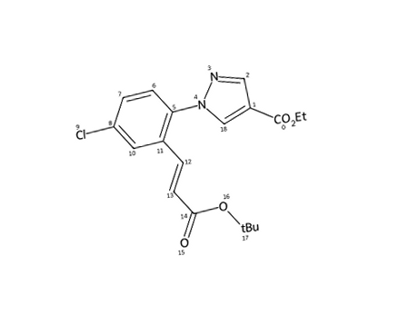 CCOC(=O)c1cnn(-c2ccc(Cl)cc2C=CC(=O)OC(C)(C)C)c1